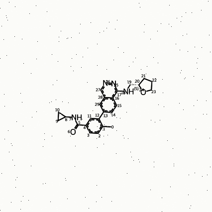 Cc1ccc(C(=O)NC2CC2)cc1-c1ccc2c(NC[C@@H]3CCCO3)nncc2c1